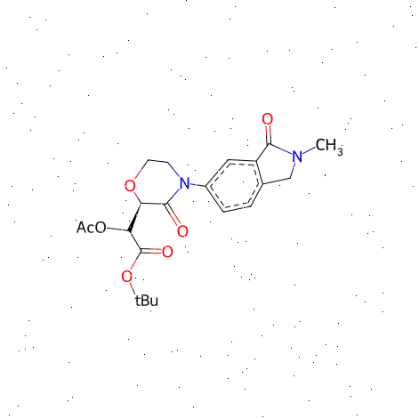 CC(=O)OC(C(=O)OC(C)(C)C)[C@H]1OCCN(c2ccc3c(c2)C(=O)N(C)C3)C1=O